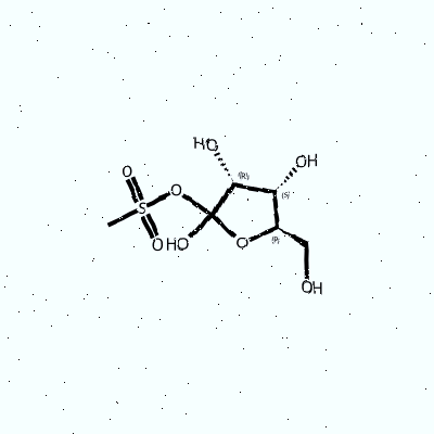 CS(=O)(=O)OC1(O)O[C@H](CO)[C@@H](O)[C@H]1O